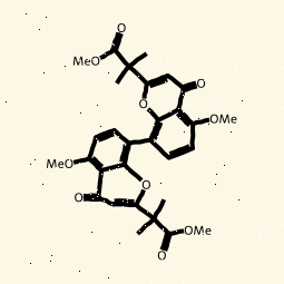 COC(=O)C(C)(C)c1cc(=O)c2c(OC)ccc(-c3ccc(OC)c4c(=O)cc(C(C)(C)C(=O)OC)oc34)c2o1